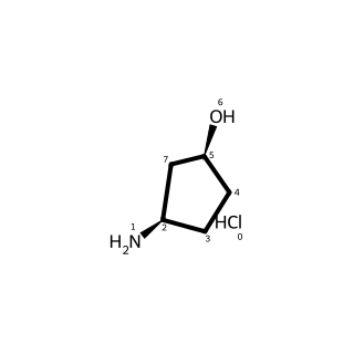 Cl.N[C@@H]1CC[C@H](O)C1